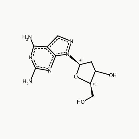 Nc1nc(N)c2cnn([C@H]3CC(O)[C@@H](CO)O3)c2n1